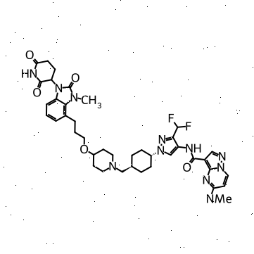 CNc1ccn2ncc(C(=O)Nc3cn([C@H]4CC[C@H](CN5CCC(OCCCc6cccc7c6n(C)c(=O)n7C6CCC(=O)NC6=O)CC5)CC4)nc3C(F)F)c2n1